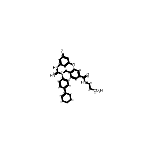 N=C(Nc1cc(Cl)cc(Cl)c1)N(Cc1ccc(C(=O)NCCC(=O)O)cc1)c1ccc(C2=CCCCC2)cc1